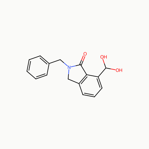 O=C1c2c(cccc2C(O)O)CN1Cc1ccccc1